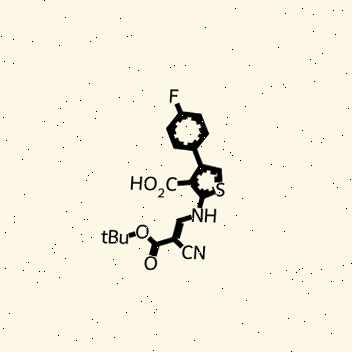 CC(C)(C)OC(=O)/C(C#N)=C/Nc1scc(-c2ccc(F)cc2)c1C(=O)O